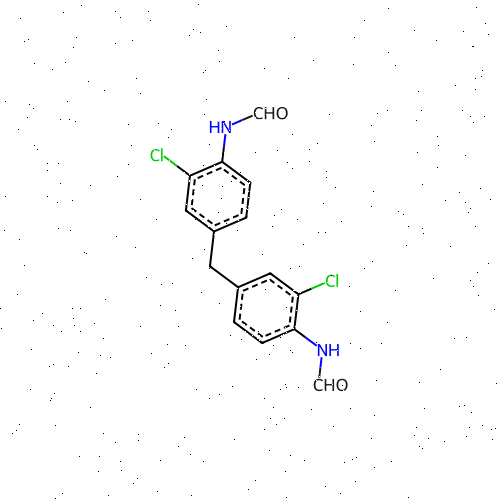 O=CNc1ccc(Cc2ccc(NC=O)c(Cl)c2)cc1Cl